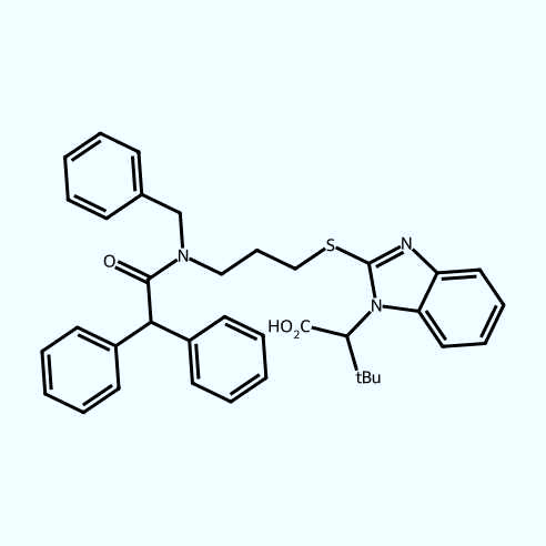 CC(C)(C)C(C(=O)O)n1c(SCCCN(Cc2ccccc2)C(=O)C(c2ccccc2)c2ccccc2)nc2ccccc21